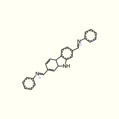 C1=CC2c3ccc(/C=N/c4ccccc4)cc3NC2C=C1/C=N/c1ccccc1